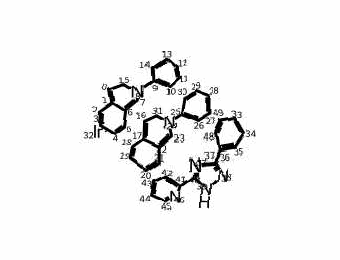 C1=c2ccccc2=CN(c2ccccc2)C1.C1=c2ccccc2=CN(c2ccccc2)C1.[Ir].c1ccc(-c2n[nH]c(-c3ccccn3)n2)cc1